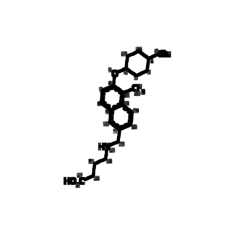 CC(C)(C)C1CCC(Oc2ccc3cc(CNCCCC(=O)O)ccc3c2C(F)(F)F)CC1